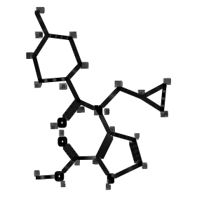 COC(=O)c1sccc1N(CC1CC1)C(=O)C1CCC(C)CC1